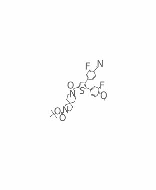 COc1ccc(-c2sc(C(=O)N3CCC4(CCN(C(=O)OC(C)(C)C)C4)CC3)cc2-c2ccc(C#N)c(F)c2)cc1F